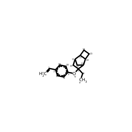 C=Cc1ccc(OC2(CC)CC3CC2C2CCC32)cc1